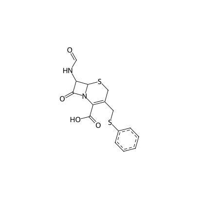 O=CNC1C(=O)N2C(C(=O)O)=C(CSc3ccccc3)CSC12